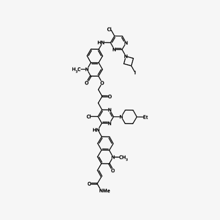 CCC1CCN(c2nc(CC(=O)COc3cc4cc(Nc5nc(N6CC(I)C6)ncc5Cl)ccc4n(C)c3=O)c(Cl)c(Nc3ccc4c(c3)cc(/C=C/C(=O)NC)c(=O)n4C)n2)CC1